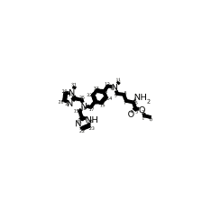 CCOC(=O)[C@@H](N)CCCN(C)Cc1ccc(CN(Cc2ncc[nH]2)Cc2nccn2C)cc1